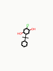 CC(C)(c1ccccc1)c1cc(O)c(Cl)cc1O